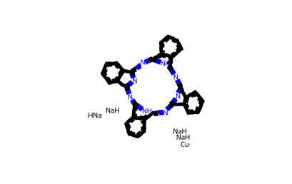 [Cu].[NaH].[NaH].[NaH].[NaH].c1ccc2c(c1)-c1nc-2nc2[nH]c(nc3nc(nc4[nH]c(n1)c1ccccc41)-c1ccccc1-3)c1ccccc21